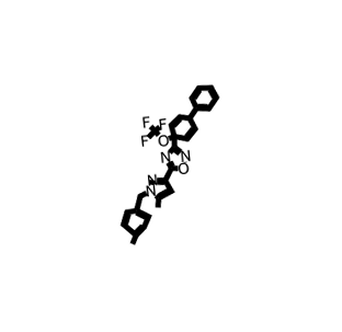 Cc1ccc(Cn2nc(-c3nc(C4(OC(F)(F)F)C=CC(c5ccccc5)C=C4)no3)cc2C)cc1